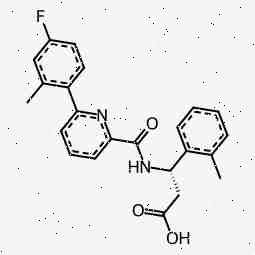 Cc1cc(F)ccc1-c1cccc(C(=O)N[C@@H](CC(=O)O)c2ccccc2C)n1